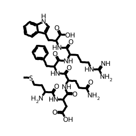 CSCCC(N)C(=O)NC(CC(=O)O)C(=O)NC(CCC(N)=O)C(=O)NC(Cc1ccccc1)C(=O)NC(CCCNC(=N)N)C(=O)NC(Cc1c[nH]c2ccccc12)C(=O)O